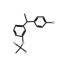 CC(c1ccc(Cl)cc1)c1cccc(OC(C)(F)F)c1